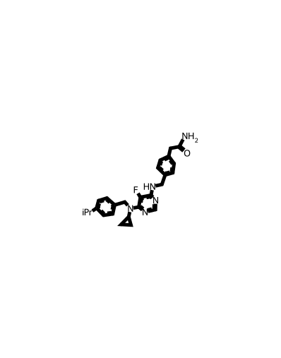 CC(C)c1ccc(CN(c2ncnc(NCc3ccc(CC(N)=O)cc3)c2F)C2CC2)cc1